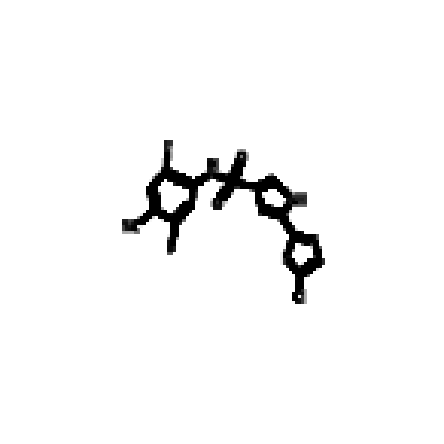 N#Cc1cc(F)c(NS(=O)(=O)c2c[nH]c(-c3ncc(Cl)s3)c2)cc1F